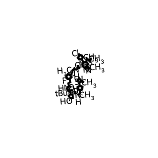 Cc1ncsc1-c1ccc([C@H](C)NC(=O)[C@@H]2C[C@@H](O)CN2C(=O)[C@@H](NC(=O)CCc2cc(OC(C)CNC(=O)C[C@@H]3N=C(c4ccc(Cl)cc4)c4c(sc(C)c4C)-n4c(C)nnc43)ccc2F)C(C)(C)C)cc1